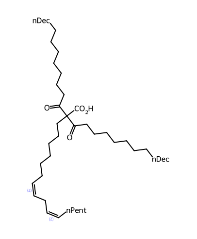 CCCCC/C=C\C/C=C\CCCCCCC(C(=O)O)(C(=O)CCCCCCCCCCCCCCCCC)C(=O)CCCCCCCCCCCCCCCCC